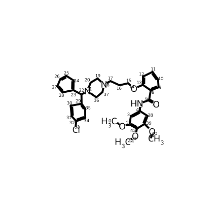 COc1cc(NC(=O)c2ccccc2OCCCN2CCN(C(c3ccccc3)c3ccc(Cl)cc3)CC2)cc(OC)c1OC